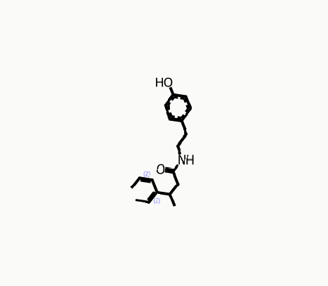 C/C=C\C(=C/C)C(C)CC(=O)NCCc1ccc(O)cc1